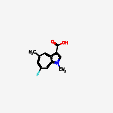 CC1=C=C(F)C=c2c(c(C(=O)O)cn2C)=C1